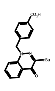 CCCCc1nn(Cc2ccc(C(=O)O)cc2)c2ccccc2c1=O